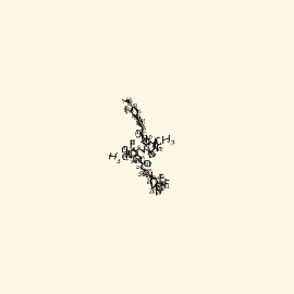 Cc1c2c(n(CCc3c4c(n(C)c(=O)c3F)CN(C(=O)CC3CN(c5ccc(F)c(C(F)(F)F)c5)C3)C4)c(=O)c1F)CN(C(=O)CC1CN(c3ccc(C4CC4)c(F)c3)C1)C2